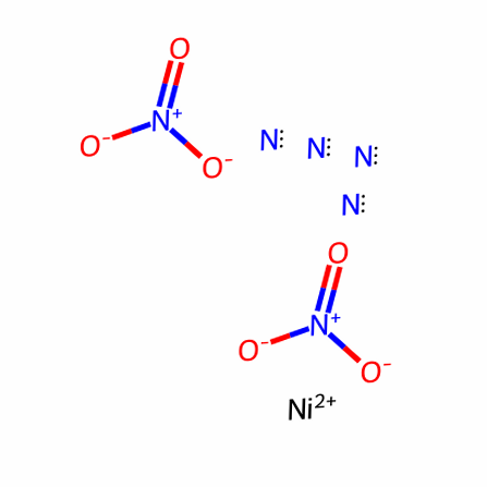 O=[N+]([O-])[O-].O=[N+]([O-])[O-].[N].[N].[N].[N].[Ni+2]